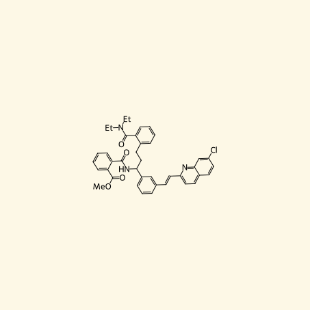 CCN(CC)C(=O)c1ccccc1CCC(NC(=O)c1ccccc1C(=O)OC)c1cccc(/C=C/c2ccc3ccc(Cl)cc3n2)c1